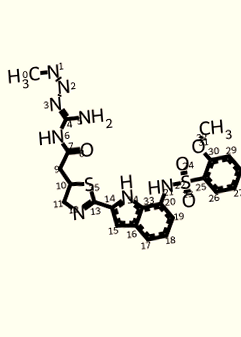 C/N=N\N=C(/N)NC(=O)CC1CN=C(c2cc3cccc(NS(=O)(=O)c4ccccc4OC)c3[nH]2)S1